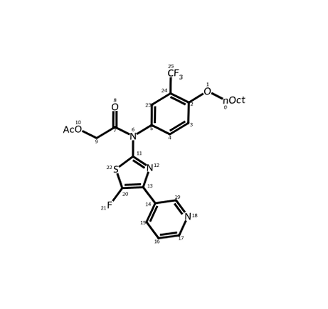 CCCCCCCCOc1ccc(N(C(=O)COC(C)=O)c2nc(-c3cccnc3)c(F)s2)cc1C(F)(F)F